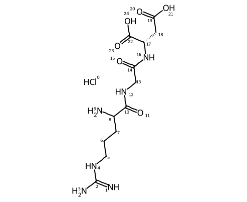 Cl.N=C(N)NCCCC(N)C(=O)NCC(=O)N[C@@H](CC(=O)O)C(=O)O